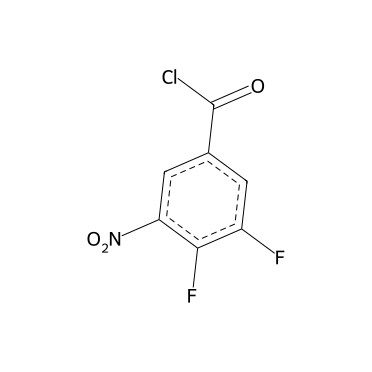 O=C(Cl)c1cc(F)c(F)c([N+](=O)[O-])c1